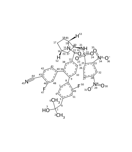 CC(C)(O)Cc1ccc(-c2ccc(C(=O)N3[C@H]4CC[C@@H]3[C@@H](NS(=O)(=O)c3ccc([N+](=O)[O-])cc3[N+](=O)[O-])C4)cc2-c2ccc(C#N)c(F)c2)c(F)c1